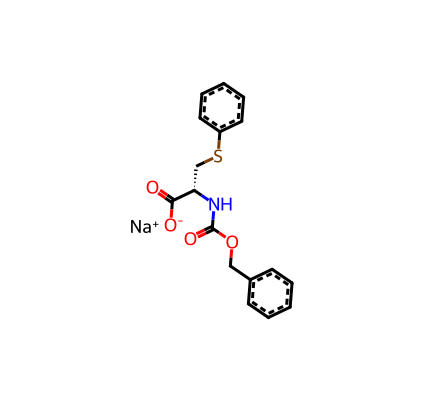 O=C(N[C@@H](CSc1ccccc1)C(=O)[O-])OCc1ccccc1.[Na+]